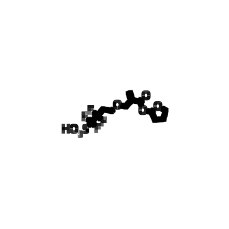 C=C(COCCC(F)(F)C(F)(F)S(=O)(=O)O)C(=O)OC1CCCO1